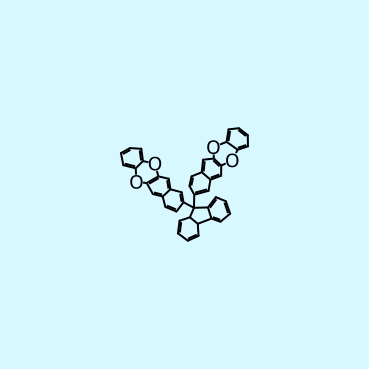 C1=CC2c3ccccc3C(c3ccc4cc5c(cc4c3)Oc3ccccc3O5)(c3ccc4cc5c(cc4c3)Oc3ccccc3O5)C2C=C1